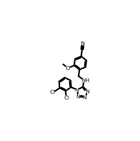 COc1cc(C#N)ccc1CNc1nnnn1-c1cccc(Cl)c1Cl